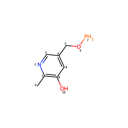 Cc1ncc(COP)cc1O